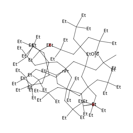 CCCC(CC)CC(CC)(CC)CC(CC(CC)(CC)CC)(CC(CC)(CC)CC)CC(CC(CC(CC)(CC)CC)(CC(CC)(CC)CC)CC(CC)(CC)CC)(CC(CC(CC(CC)(CC)CC)(CC(CC)(CC)CC)CC(CC)(CC)CC)(CC(CC(CC)(CC)CC)(CC(CC)(CC)CC)CC(CC)(CC)CC)CC(CC(CC)(CC)CC)(CC(CC)(CC)CC)CC(CC)(CC)CC)CC(C)(CC)C(=O)OCC